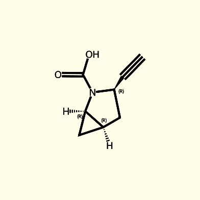 C#C[C@H]1C[C@H]2C[C@H]2N1C(=O)O